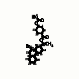 CCC(C)C(=O)OC1CCC(C(=O)OC(C)c2ccc3c(c2)c(Br)cc2ccccc23)CC1